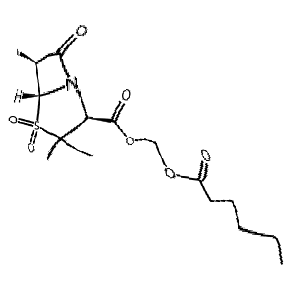 CCCCCC(=O)OCOC(=O)[C@@H]1N2C(=O)[C@H](I)[C@H]2S(=O)(=O)C1(C)C